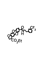 CCOC(=O)C1CCOc2cc(Oc3ccc(C(=O)NCCc4cccc(C(F)(F)F)c4)cc3)c(Cl)cc21